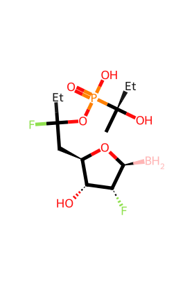 B[C@@H]1O[C@H](CC(F)(CC)OP(=O)(O)[C@@](C)(O)CC)[C@@H](O)[C@H]1F